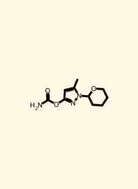 Cc1cc(OC(N)=O)nn1C1CCCCO1